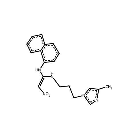 Cc1cn(CCCNC(=C[N+](=O)[O-])Nc2cccc3ccccc23)cn1